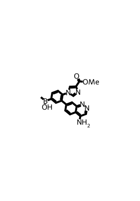 COC(=O)c1cn(-c2ccc(B(C)O)cc2-c2ccc3c(N)cnnc3c2)cn1